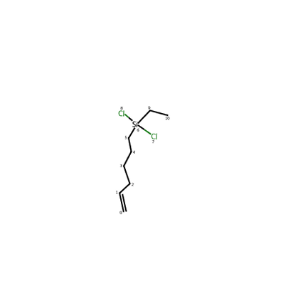 C=CCCCC[Si](Cl)(Cl)CC